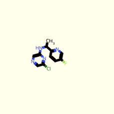 CC(Nc1cncc(Cl)n1)c1ccc(F)cn1